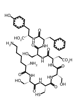 NCCCC[C@H](N)C(=O)N[C@@H](CO)C(=O)N[C@@H](CS)C(=O)N[C@@H](CO)C(=O)N[C@@H](CC(=O)O)C(=O)N[C@@H](CO)C(=O)N[C@@H](Cc1ccccc1)C(=O)N[C@@H](Cc1ccc(O)cc1)C(=O)O